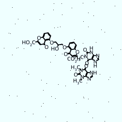 Cn1c(=O)[nH]c2nc[nH]c2c1=O.Cn1c(=O)c2[nH]cnc2n(C)c1=O.O=C(O)c1cc(=O)c2c(OCC(O)COc3cccc4oc(C(=O)O)cc(=O)c34)cccc2o1